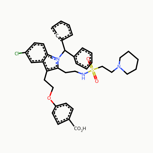 O=C(O)c1ccc(OCCc2c(CCNS(=O)(=O)CCN3CCCCC3)n(C(c3ccccc3)c3ccccc3)c3ccc(Cl)cc23)cc1